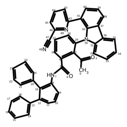 CC(=O)c1c(C(=O)Nc2cccc(-c3ccccc3)c2-c2ccccc2)cccc1-n1c2ccccc2c2cccc(-c3cccc(C#N)n3)c21